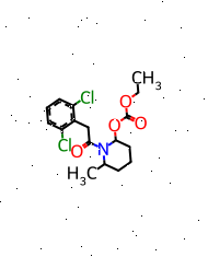 CCOC(=O)OC1CCCC(C)N1C(=O)Cc1c(Cl)cccc1Cl